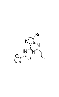 CCCCc1nc(NC(=O)c2ccco2)n2ncc(Br)c2n1